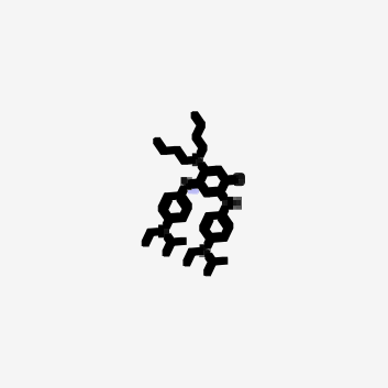 CCCCN(CCCC)C1=CC(=O)C(Nc2ccc(N(CC)C(C)C)cc2)=C/C1=N\c1ccc(N(CC)C(C)C)cc1